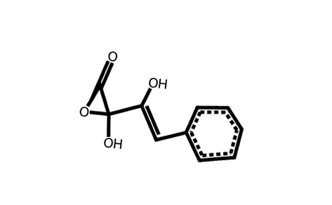 O=C1OC1(O)C(O)=Cc1ccccc1